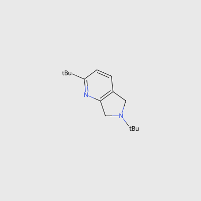 CC(C)(C)c1ccc2c(n1)CN(C(C)(C)C)C2